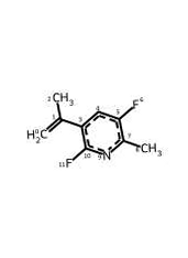 C=C(C)c1cc(F)c(C)nc1F